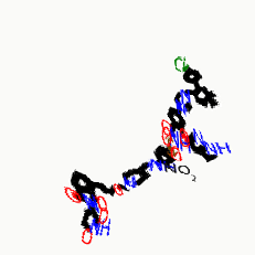 CC1(C)CCC(CN2CCN(c3ccc(C(=O)NS(=O)(=O)c4ccc(NCC5CCN(CCOCCC#Cc6cccc7c6C(=O)N(C6CCC(=O)NC6=O)C7=O)CC5)c([N+](=O)[O-])c4)c(Oc4cnc5[nH]ccc5c4)c3)CC2)=C(c2ccc(Cl)cc2)C1